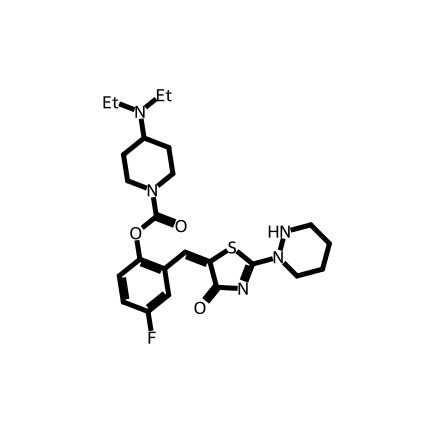 CCN(CC)C1CCN(C(=O)Oc2ccc(F)cc2/C=C2/SC(N3CCCCN3)=NC2=O)CC1